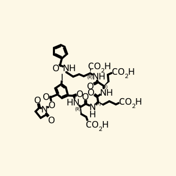 O=C(O)CCC[C@@H](NC(=O)[C@@H](CCC(=O)O)NC(=O)c1cc(I)cc(C(=O)ON2C(=O)CCC2=O)c1)C(=O)N[C@H](CCC(=O)O)C(=O)N[C@H](CCCCNC(=O)c1ccccc1)C(=O)O